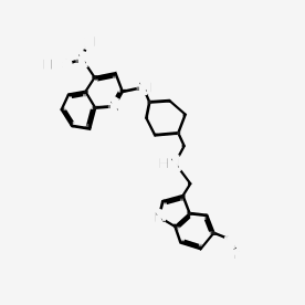 COc1ccc2[nH]cc(CNCC3CCC(Nc4cc(N(C)C)c5ccccc5n4)CC3)c2c1